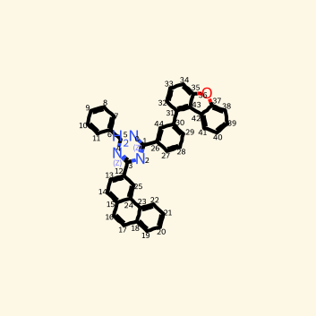 N/C(=N\C(=N/Cc1ccccc1)c1ccc2ccc3ccccc3c2c1)c1cccc(-c2cccc3oc4ccccc4c23)c1